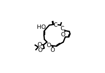 C=C1CC(O)C=CCC(C2COC(C)(C)O2)OC(=O)C=CCC2C=CCC(CC(C)C1)O2